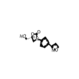 O=C1O[C@@H](CO)CN1c1ccc(-c2ccon2)cc1